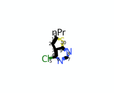 CCCc1cc2c(Cl)ncnc2s1